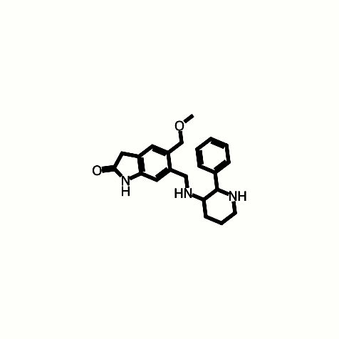 COCc1cc2c(cc1CNC1CCCNC1c1ccccc1)NC(=O)C2